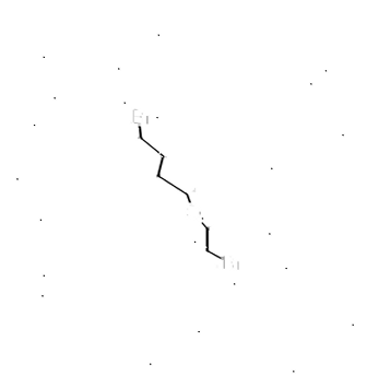 BrCCCCOCCBr